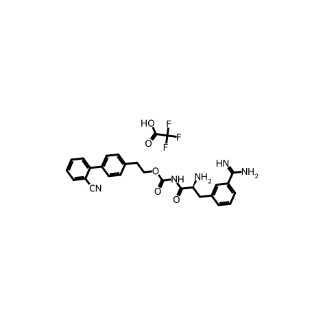 N#Cc1ccccc1-c1ccc(CCOC(=O)NC(=O)[C@@H](N)Cc2cccc(C(=N)N)c2)cc1.O=C(O)C(F)(F)F